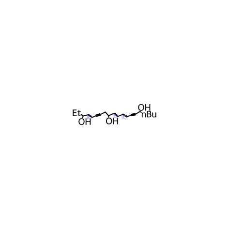 CCCCC(O)C#C/C=C/C=C/C(O)CC#C/C=C/C(O)CC